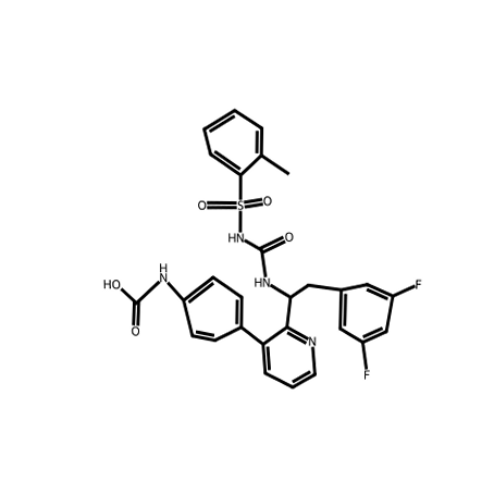 Cc1ccccc1S(=O)(=O)NC(=O)NC(Cc1cc(F)cc(F)c1)c1ncccc1-c1ccc(NC(=O)O)cc1